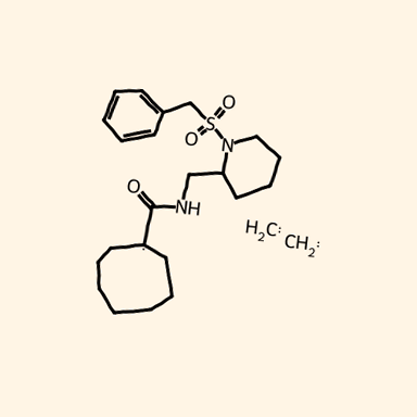 O=C(NCC1CCCCN1S(=O)(=O)Cc1ccccc1)[C]1CCCCCCC1.[CH2].[CH2]